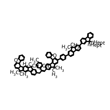 CCCCCCCC1(CCCCCCC)c2ccccc2-c2ccc(-c3ccc4c(c3)C(C)(C)c3cc(-c5ccc(-c6cc7c(c8c6oc6ccccc68)-c6ccc(/C=C(/Cc8ccc9c(c8)C(C)(C)c8cc%10c(cc8-9)C(C)(C)C8=CC=C9Oc%11ccccc%11C9C8%10)c8ccc(C)cc8C)cc6C7(C)C)cc5)ccc3-4)cc21